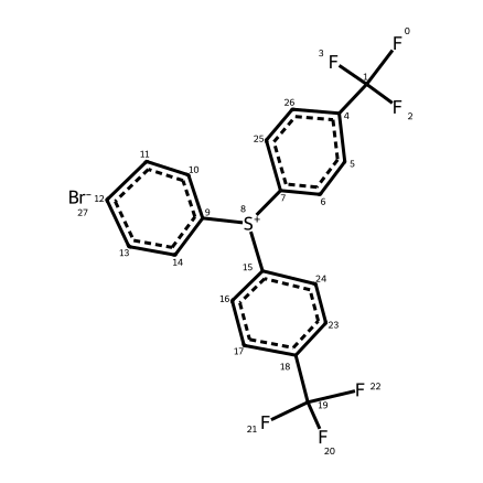 FC(F)(F)c1ccc([S+](c2ccccc2)c2ccc(C(F)(F)F)cc2)cc1.[Br-]